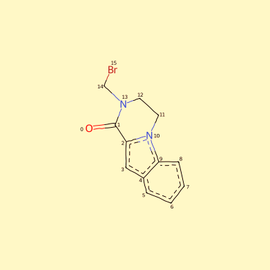 O=C1c2cc3ccccc3n2CCN1CBr